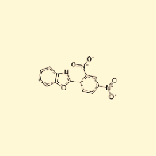 O=[N+]([O-])c1ccc(-c2nc3ccccc3o2)c([N+](=O)[O-])c1